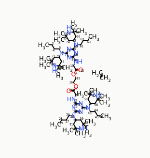 C=C.CCCCN(c1nc(NCC(=O)OCCOC(=O)CNc2nc(N(CCCC)C3CC(C)(C)NC(C)(C)C3)nc(N(CCCC)C3CC(C)(C)NC(C)(C)C3)n2)nc(N(CCCC)C2CC(C)(C)NC(C)(C)C2)n1)C1CC(C)(C)NC(C)(C)C1